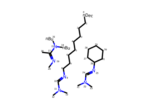 CCCCCCCCCCCCCCCCCCN=CN(C)C.CCCCN(CCCC)C(C)=NC.CN(C)C=NC1CCCCC1